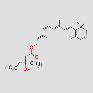 CC1=C(/C=C/C(C)=C/C=C\C(C)=C\COC(=O)CC(O)(CC(=O)O)C(=O)O)C(C)(C)CCC1